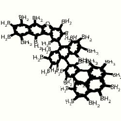 Bc1c(B)c(-c2c3c(B)c(B)c(B)c(B)c3c(-c3c(B)c(B)c4oc5c(B)c6c(B)c(B)c(B)c(B)c6c(B)c5c4c3B)c3c(B)c(B)c(B)c(B)c23)c(B)c(-c2c(B)c(B)c(B)c3c(B)c(B)c4c(B)c(B)c(B)c(B)c4c23)c1B